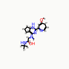 COC1=CC(C2=NC(N(C)CC(O)NC(C)(C)C)=C3CCCC3N2)=NC=CC1